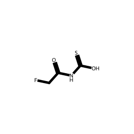 O=C(CF)NC(O)=S